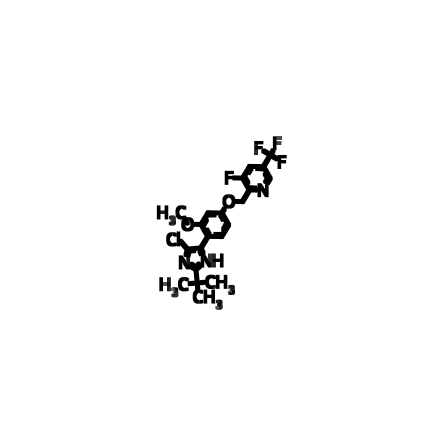 COc1cc(OCc2ncc(C(F)(F)F)cc2F)ccc1-c1[nH]c(C(C)(C)C)nc1Cl